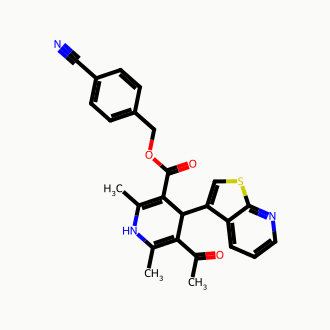 CC(=O)C1=C(C)NC(C)=C(C(=O)OCc2ccc(C#N)cc2)C1c1csc2ncccc12